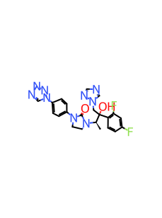 C[C@@H](N1CCN(c2ccc(-n3cnnn3)cc2)C1=O)[C@](O)(Cn1cncn1)c1ccc(F)cc1F